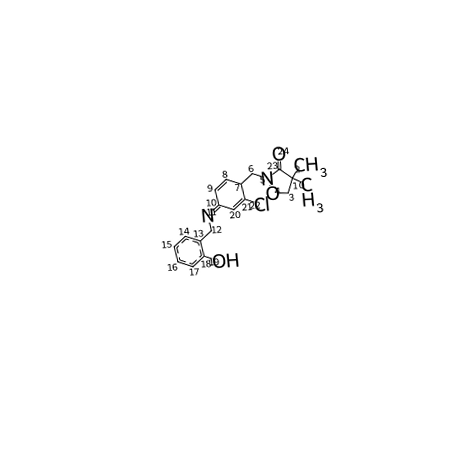 CC1(C)CON(CC2C=C/C(=N/Cc3ccccc3O)C=C2Cl)C1=O